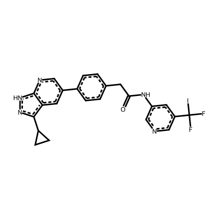 O=C(Cc1ccc(-c2cnc3[nH]nc(C4CC4)c3c2)cc1)Nc1cncc(C(F)(F)I)c1